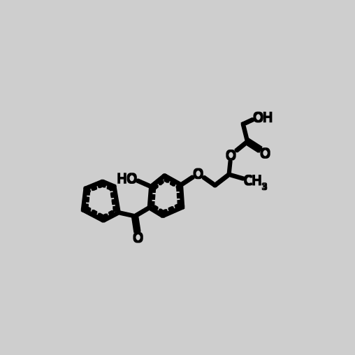 CC(COc1ccc(C(=O)c2ccccc2)c(O)c1)OC(=O)CO